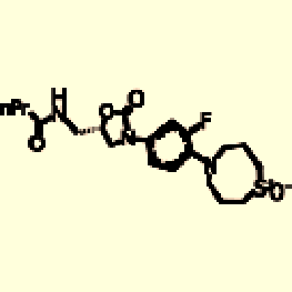 CCCC(=O)NC[C@H]1CN(c2ccc(N3CCC[S+]([O-])CCC3)c(F)c2)C(=O)O1